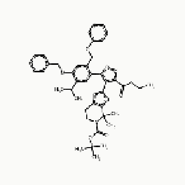 CCNC(=O)c1noc(-c2cc(C(C)C)c(OCc3ccccc3)cc2COc2ccccc2)c1-c1cc2c(s1)C(C)(C)N(C(=O)OC(C)(C)C)CC2